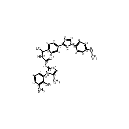 CCC(NC(=O)/N=c1\scc(C)n1-c1cccc(C)c1C(C)C)c1ccc(-c2ncn(-c3ccc(OC(F)(F)F)cc3)n2)cc1